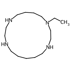 CCN1CCCCNCCNCCCCCNCC1